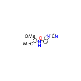 COc1cc(NC(=O)c2cccc3c2CCN(Cc2ccncc2)C3)cc(OC)c1